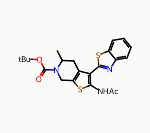 CC(=O)Nc1sc2c(c1-c1nc3ccccc3s1)CC(C)N(C(=O)OC(C)(C)C)C2